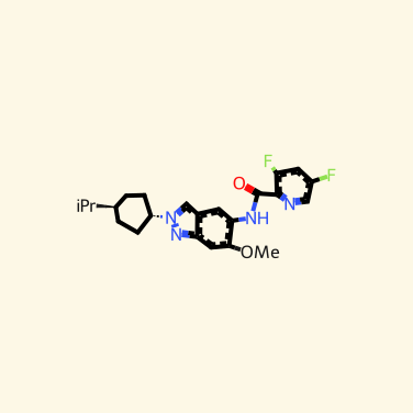 COc1cc2nn([C@H]3CC[C@H](C(C)C)CC3)cc2cc1NC(=O)c1ncc(F)cc1F